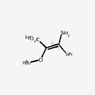 CCCCO/C(C(=O)O)=C(/[SiH3])CCC